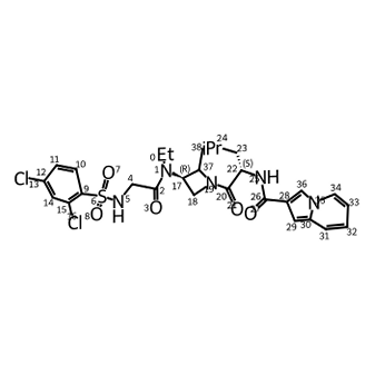 CCN(C(=O)CNS(=O)(=O)c1ccc(Cl)cc1Cl)[C@@H]1CN(C(=O)[C@H](CC(C)C)NC(=O)c2cc3ccccn3c2)C1C